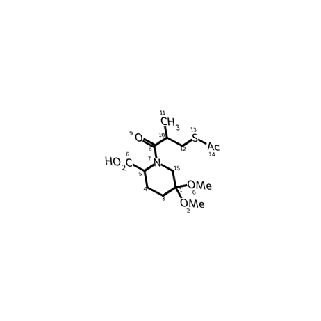 COC1(OC)CCC(C(=O)O)N(C(=O)C(C)CSC(C)=O)C1